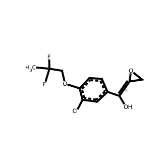 CC(F)(F)COc1ccc(/C(O)=C2/CO2)cc1Cl